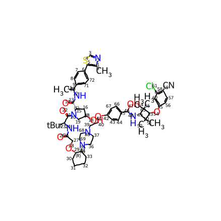 Cc1ncsc1-c1ccc([C@H](C)NC(=O)[C@@H]2C[C@@H](O)CN2C(=O)C(NC(=O)CO[C@@H]2CCCC[C@H]2N2CCN(CCOc3ccc(C(O)N[C@H]4C(C)(C)[C@H](Oc5ccc(C#N)c(Cl)c5)C4(C)C)cc3)CC2)C(C)(C)C)cc1